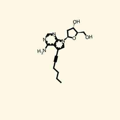 CCCCC#Cc1cn([C@H]2C[C@H](O)[C@@H](CO)O2)c2ncnc(N)c12